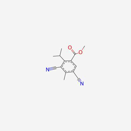 COC(=O)c1cc(C#N)c(C)c(C#N)c1C(C)C